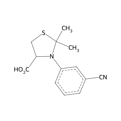 CC1(C)SCC(C(=O)O)N1c1cccc(C#N)c1